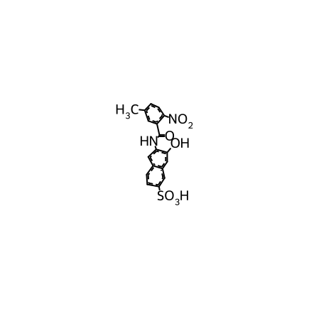 Cc1ccc([N+](=O)[O-])c(C(=O)Nc2cc3ccc(S(=O)(=O)O)cc3cc2O)c1